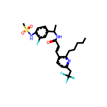 CCCCCc1nc(CC(F)(F)F)ccc1C=CC(=O)NC(C)c1ccc(NS(C)(=O)=O)c(F)c1